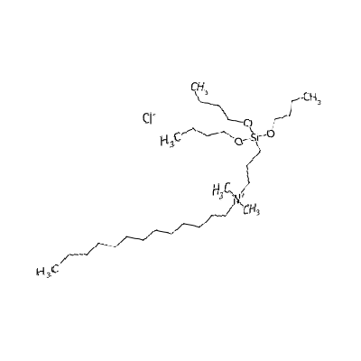 CCCCCCCCCCCCC[N+](C)(C)CCC[Si](OCCCC)(OCCCC)OCCCC.[Cl-]